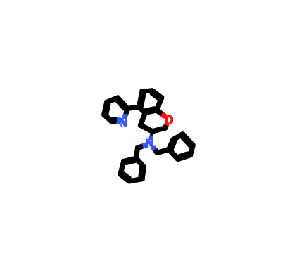 c1ccc(CN(Cc2ccccc2)[C@@H]2COc3cccc(-c4ccccn4)c3C2)cc1